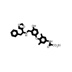 CCOC(=O)C(=O)Nc1cc(C)c(Oc2ccc(O)c(CNC(Cc3ccccc3)C3=COCO3)c2)c(C)c1